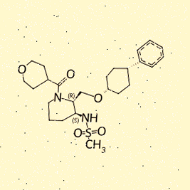 CS(=O)(=O)N[C@H]1CCCN(C(=O)C2CCOCC2)[C@H]1CO[C@H]1CC[C@@H](c2ccccc2)CC1